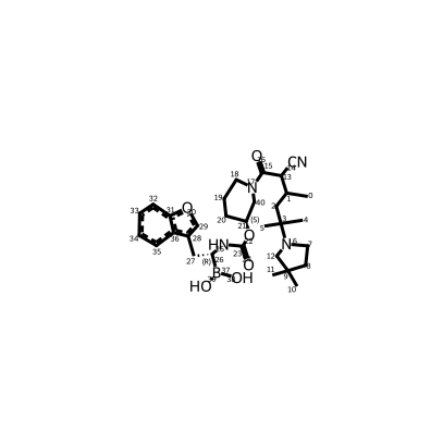 CC(CC(C)(C)N1CCC(C)(C)C1)C(C#N)C(=O)N1CCC[C@H](OC(=O)N[C@@H](Cc2coc3ccccc23)B(O)O)C1